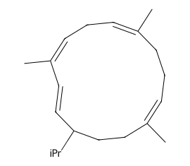 CC1=C/C/C=C(/C)CC/C=C(/C)CCC(C(C)C)\C=C\1